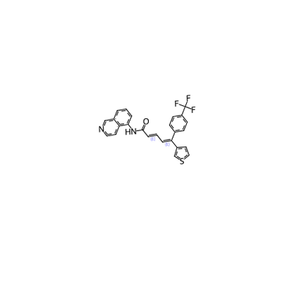 O=C(/C=C/C=C(\c1ccc(C(F)(F)F)cc1)c1ccsc1)Nc1cccc2cnccc12